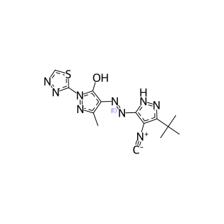 [C-]#[N+]c1c(C(C)(C)C)n[nH]c1/N=N/c1c(C)nn(-c2nncs2)c1O